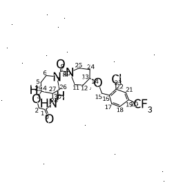 O=C1CO[C@H]2CCN(C(=O)N3CCC(OCc4ccc(C(F)(F)F)cc4Cl)CC3)C[C@H]2N1